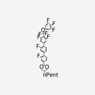 CCCCCC1COC(c2ccc(-c3ccc(-c4cc(F)c(C(F)(F)Oc5cc(F)c(F)c(F)c5)c(F)c4)c(F)c3)c(F)c2)OC1